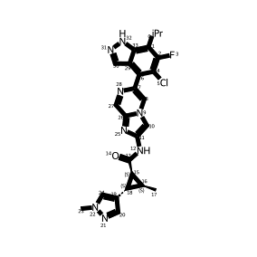 CC(C)c1c(F)c(Cl)c(-c2cn3cc(NC(=O)[C@H]4[C@@H](C)[C@@H]4c4cnn(C)c4)nc3cn2)c2cn[nH]c12